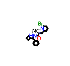 N#C/C(=C\c1cccc(Br)n1)C(=O)N[C@@H](c1ccccc1)C1CCC1